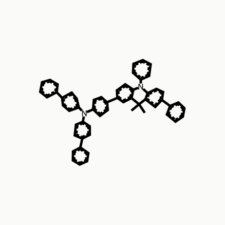 CC1(C)c2cc(-c3ccccc3)ccc2N(c2ccccc2)c2ccc(-c3ccc(N(c4ccc(-c5ccccc5)cc4)c4ccc(-c5ccccc5)cc4)cc3)cc21